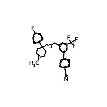 CN1CCC(COCc2cc(-c3ccc(C#N)cc3)cc(C(F)(F)F)c2)(c2ccc(F)cc2)CC1